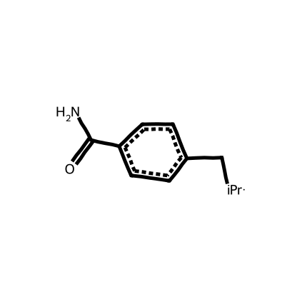 C[C](C)Cc1ccc(C(N)=O)cc1